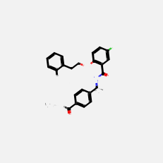 COC(=O)c1ccc([C@H](C)NC(=O)c2cc(Cl)ccc2OCCc2ccccc2C)cc1